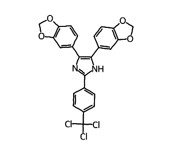 ClC(Cl)(Cl)c1ccc(-c2nc(-c3ccc4c(c3)OCO4)c(-c3ccc4c(c3)OCO4)[nH]2)cc1